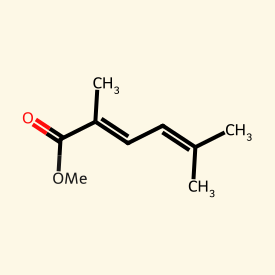 COC(=O)C(C)=CC=C(C)C